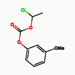 COc1cccc(OC(=O)OC(C)Cl)c1